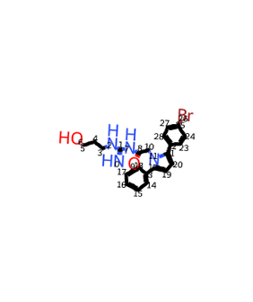 N=C(NCCCO)NC(=O)Cn1c(-c2ccccc2)ccc1-c1ccc(Br)cc1